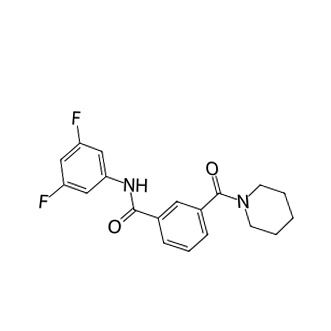 O=C(Nc1cc(F)cc(F)c1)c1cccc(C(=O)N2CCCCC2)c1